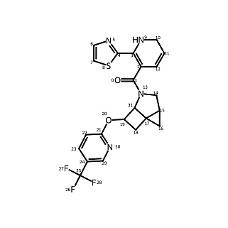 O=C(C1=C(c2nccs2)NCC=C1)N1CC2CC23CC(Oc2ccc(C(F)(F)F)cn2)C13